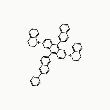 c1ccc(-c2ccc3cc(-c4c5ccc(N6CCCc7ccccc76)cc5c(-c5ccc6ccccc6c5)c5ccc(N6CCCc7ccccc76)cc45)ccc3c2)cc1